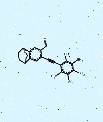 Bc1c(B)c(B)c(C#Cc2cc3c(cc2C=O)C2CCCC3CC2)c(B)c1B